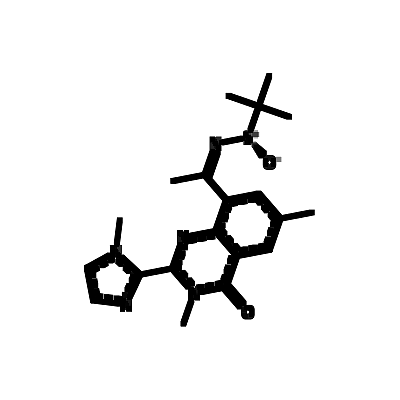 C/C(=N/[S@+]([O-])C(C)(C)C)c1cc(C)cc2c(=O)n(C)c(-c3nccn3C)nc12